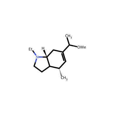 CCN1CCC2[C@H]1CC(C(C)OC)=C[C@@H]2C